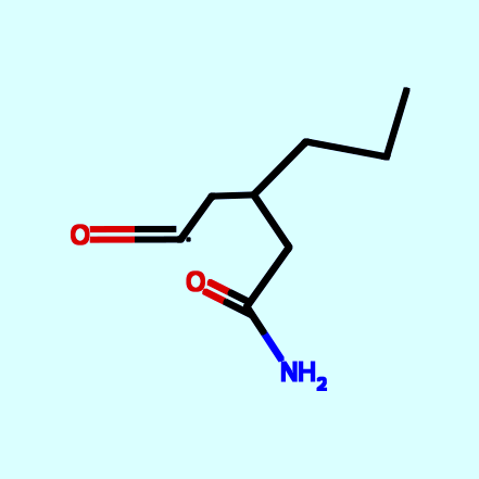 CCCC(C[C]=O)CC(N)=O